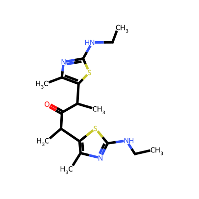 CCNc1nc(C)c(C(C)C(=O)C(C)c2sc(NCC)nc2C)s1